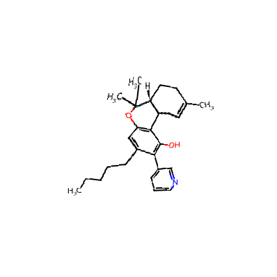 CCCCCc1cc2c(c(O)c1-c1cccnc1)C1C=C(C)CC[C@H]1C(C)(C)O2